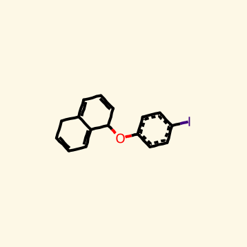 Ic1ccc(OC2C=CC=C3CC=CC=C32)cc1